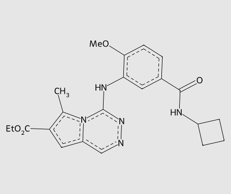 CCOC(=O)c1cc2cnnc(Nc3cc(C(=O)NC4CCC4)ccc3OC)n2c1C